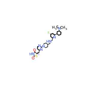 CN(C)c1cccc(-c2cc(F)cc(CNCC3CCN(c4nccc(/C=C5/SC(=O)NC5=O)n4)CC3)n2)c1